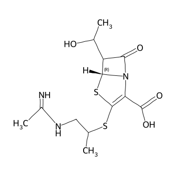 CC(=N)NCC(C)SC1=C(C(=O)O)N2C(=O)C(C(C)O)[C@H]2S1